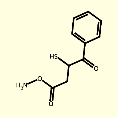 NOC(=O)CC(S)C(=O)c1ccccc1